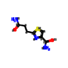 NC(=O)CCc1nc(C(N)=O)cs1